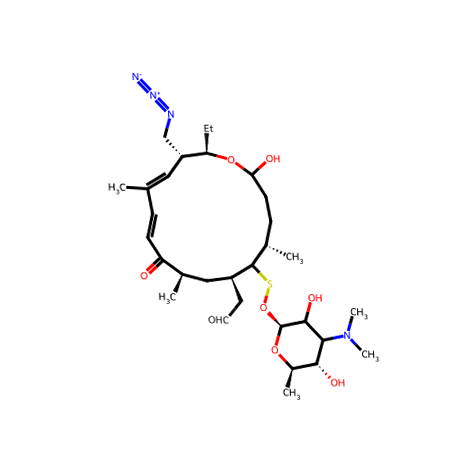 CC[C@H]1OC(O)CC[C@H](C)C(SO[C@@H]2O[C@H](C)[C@@H](O)C(N(C)C)C2O)[C@@H](CC=O)C[C@@H](C)C(=O)/C=C/C(C)=C/[C@@H]1CN=[N+]=[N-]